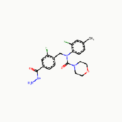 Cc1ccc(N(Cc2ccc(C(=O)NN)cc2F)C(=O)N2CCOCC2)c(F)c1